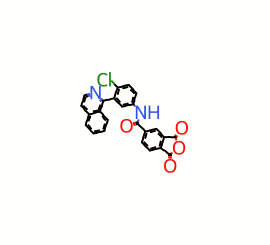 O=C(Nc1ccc(Cl)c(-c2nccc3ccccc23)c1)c1ccc2c(c1)C(=O)OC2=O